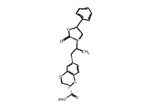 COC(=O)[C@@H]1COc2cc(CC(C)N3CC(c4ccccc4)OC3=O)ccc2O1